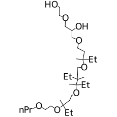 CCCOCCOC(C)(CC)CCOC(C)(CC)C(C)(CC)COC(C)(CC)CCOCC(O)COCCO